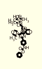 CC(C)[Si](OCCCS(=O)(=O)C1(c2cc(N3CCOC[C@@H]3C)nc(-c3ccc(NC(=O)Oc4ccccc4)cc3)n2)CCOCC1)(C(C)C)C(C)C